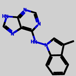 Cc1cn(Nc2ncnc3[nH]cnc23)c2ccccc12